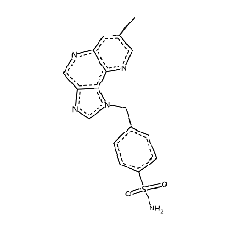 Cc1cnc2c(c1)ncc1ncn(Cc3ccc(S(N)(=O)=O)cc3)c12